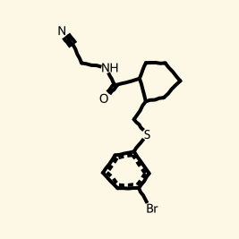 N#CCNC(=O)C1CCCCC1CSc1cccc(Br)c1